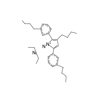 CCCCC1=C(c2cccc(CCCC)c2)[N+](=[N-])C(c2cccc(CCCC)c2)=C1.C[CH2][Ni][CH2]C